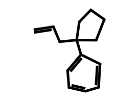 C=CCC1(c2cc[c]cc2)CCCC1